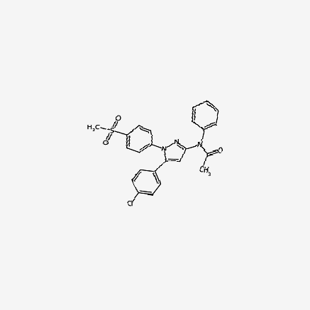 CC(=O)N(c1ccccc1)c1cc(-c2ccc(Cl)cc2)n(-c2ccc(S(C)(=O)=O)cc2)n1